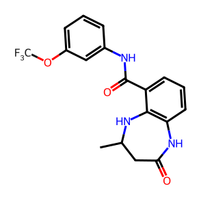 CC1CC(=O)Nc2cccc(C(=O)Nc3cccc(OC(F)(F)F)c3)c2N1